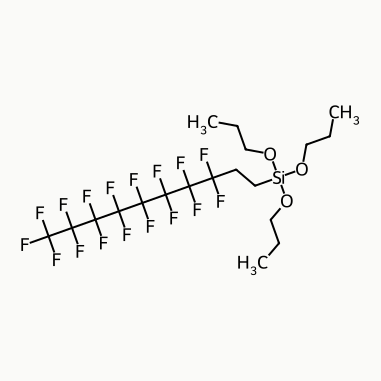 CCCO[Si](CCC(F)(F)C(F)(F)C(F)(F)C(F)(F)C(F)(F)C(F)(F)C(F)(F)C(F)(F)F)(OCCC)OCCC